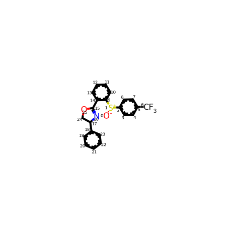 [O-][S@@+](c1ccc(C(F)(F)F)cc1)c1ccccc1C1=NC(c2ccccc2)CO1